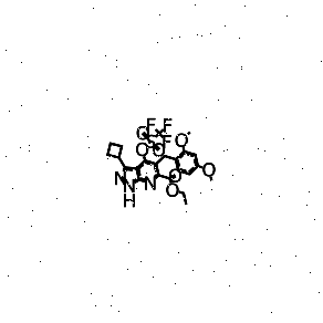 CCOC(=O)c1nc2[nH]nc(C3CCC3)c2c(OS(=O)(=O)C(F)(F)F)c1Cc1ccc(OC)cc1OC